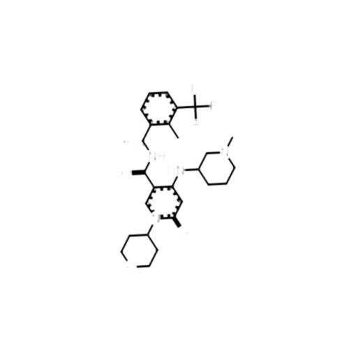 Cc1c([C@@H](C)NC(=O)c2cn(C3CCOCC3)c(=O)cc2NC2CCCN(C)C2)cccc1C(F)(F)F